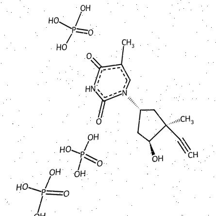 C#C[C@]1(C)C[C@@H](n2cc(C)c(=O)[nH]c2=O)C[C@@H]1O.O=P(O)(O)O.O=P(O)(O)O.O=P(O)(O)O